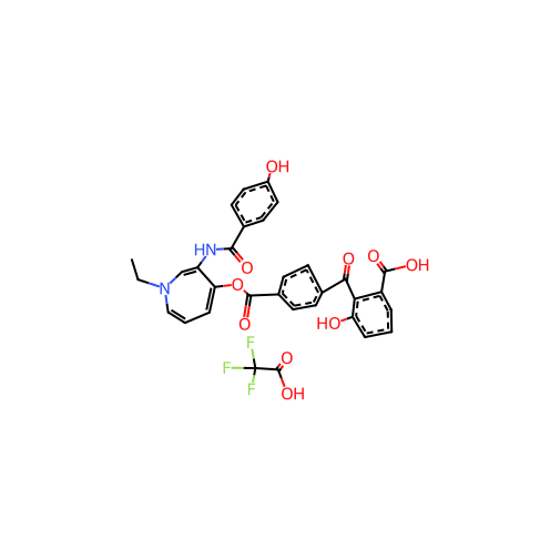 CCN1C=CC=C(OC(=O)c2ccc(C(=O)c3c(O)cccc3C(=O)O)cc2)C(NC(=O)c2ccc(O)cc2)=C1.O=C(O)C(F)(F)F